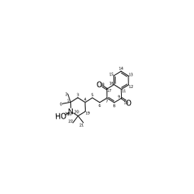 CC1(C)CC(CCC2=CC(=O)c3ccccc3C2=O)CC(C)(C)N1O